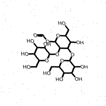 O=COC1OC(CO)C(O)C(OC2OC(CO)C(O)C(O)C2O)C1OC1OC(CO)C(O)C(O)C1O